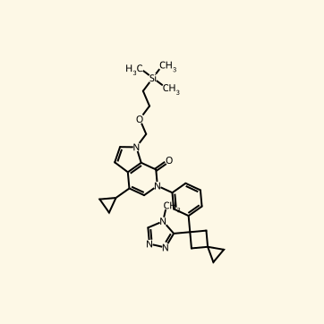 Cn1cnnc1C1(c2cccc(-n3cc(C4CC4)c4ccn(COCC[Si](C)(C)C)c4c3=O)c2)CC2(CC2)C1